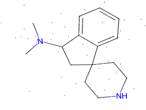 CN(C)C1CC2(CCNCC2)c2ccccc21